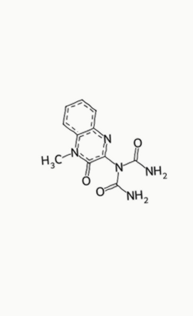 Cn1c(=O)c(N(C(N)=O)C(N)=O)nc2ccccc21